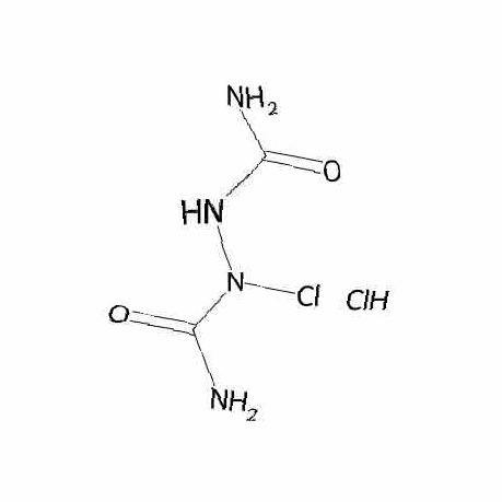 Cl.NC(=O)NN(Cl)C(N)=O